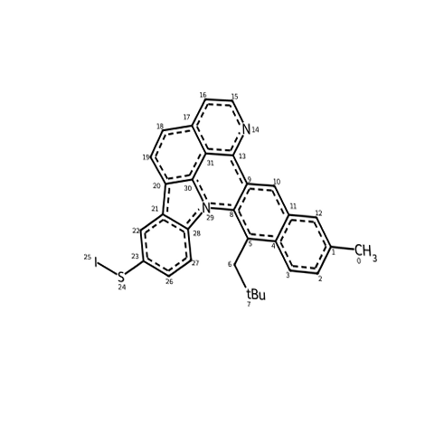 Cc1ccc2c(CC(C)(C)C)c3c(cc2c1)c1nccc2ccc4c5cc(SI)ccc5n3c4c21